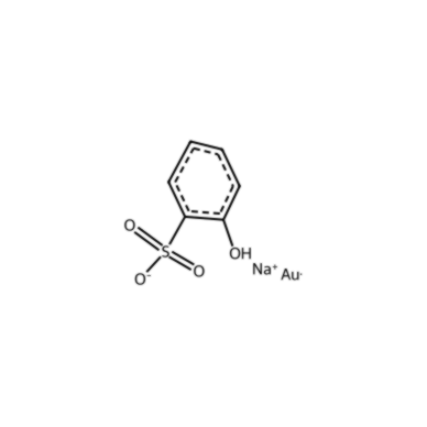 O=S(=O)([O-])c1ccccc1O.[Au].[Na+]